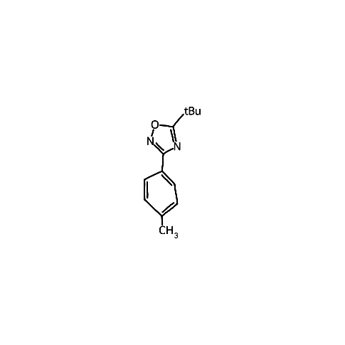 Cc1ccc(-c2noc(C(C)(C)C)n2)cc1